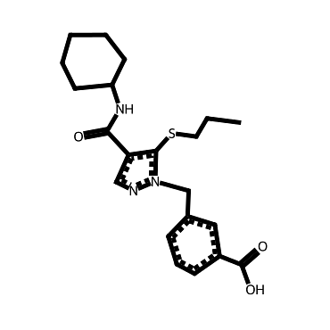 CCCSc1c(C(=O)NC2CCCCC2)cnn1Cc1cccc(C(=O)O)c1